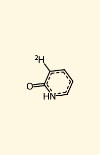 [2H]c1ccc[nH]c1=O